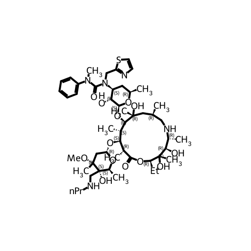 CCCNC[C@]1(O)[C@H](C)O[C@@H](O[C@H]2[C@H](C)[C@@H](O[C@@H]3O[C@H](C)C[C@H](N(Cc4nccs4)C(=O)N(C)c4ccccc4)[C@H]3O)[C@](C)(O)C[C@@H](C)CN[C@H](C)[C@@H](O)[C@](C)(O)[C@@H](CC)OC(=O)[C@@H]2C)C[C@@]1(C)OC